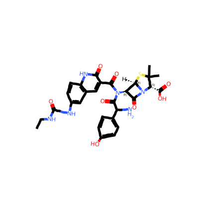 CCNC(=O)Nc1ccc2[nH]c(=O)c(C(=O)N(C(=O)C(N)c3ccc(O)cc3)[C@@H]3C(=O)N4[C@@H]3SC(C)(C)[C@@H]4C(=O)O)cc2c1